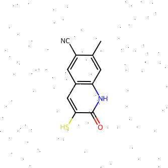 Cc1cc2[nH]c(=O)c(S)cc2cc1C#N